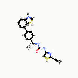 C#Cc1nc(NC(=O)N[C@H](C)c2ccc(-c3cccc4ncsc34)cc2)cs1